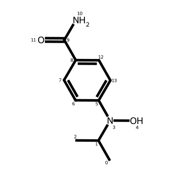 CC(C)N(O)c1ccc(C(N)=O)cc1